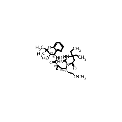 CCC1(CC)CC(=O)N([C@H](CCOC)[C@@H]2C[C@H]2C(=O)N[C@H]2c3ccccc3OC(C)(C)[C@@H]2O)C(=N)N1